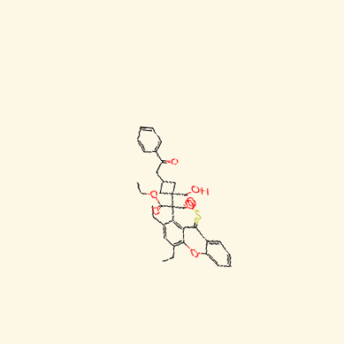 CCOC(=O)C(C=O)(c1c(CC)cc(CC)c2oc3ccccc3c(=S)c12)C1(C(=O)O)CC(CC(=O)c2ccccc2)C1